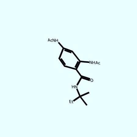 CCC(C)(C)NC(=O)c1ccc(NC(C)=O)cc1NC(C)=O